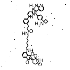 Nc1ncccc1-c1nc2ccc(-c3cccc(CCC(=O)NCCCCCCNc4cccc5c4C(=O)N(C4CCC(=O)NC4=O)C5=O)c3)nc2n1-c1ccc(C2(N)CCC2)cc1